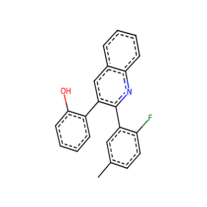 Cc1ccc(F)c(-c2nc3ccccc3cc2-c2ccccc2O)c1